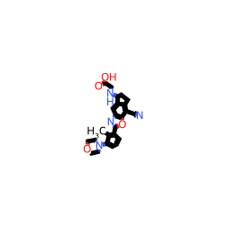 Cc1c(-c2nc3cc4c(c(C#N)c3o2)CCC4NCC(=O)O)cccc1N1CCOCC1